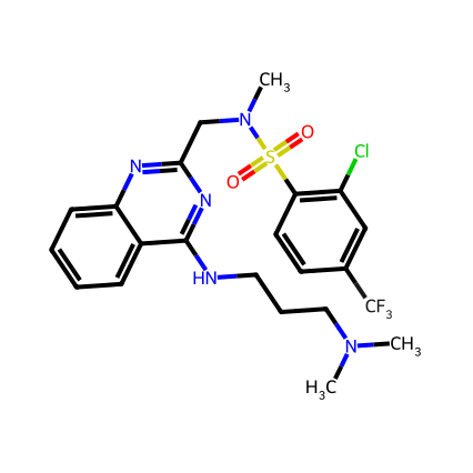 CN(C)CCCNc1nc(CN(C)S(=O)(=O)c2ccc(C(F)(F)F)cc2Cl)nc2ccccc12